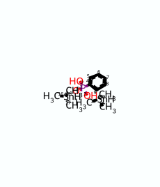 O=P(O)(O)c1ccccc1.[CH3][SnH]([CH3])[CH3].[CH3][SnH]([CH3])[CH3]